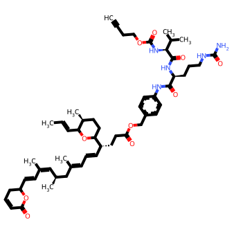 C#CCCOC(=O)N[C@H](C(=O)N[C@@H](CCCNC(N)=O)C(=O)Nc1ccc(COC(=O)CC[C@H](/C=C/C=C(\C)C[C@@H](C)/C=C(C)\C=C\C2CC=CC(=O)O2)C2CC[C@H](C)C(/C=C/C)O2)cc1)C(C)C